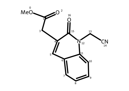 COC(=O)Cc1cc2ccccc2n(CC#N)c1=O